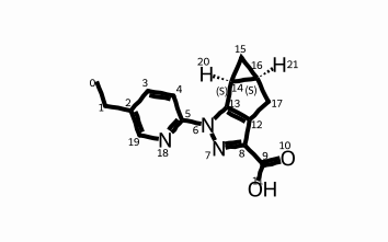 CCc1ccc(-n2nc(C(=O)O)c3c2[C@H]2C[C@H]2C3)nc1